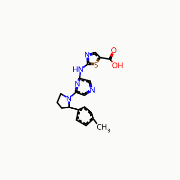 Cc1ccc(C2CCCN2c2cncc(Nc3ncc(C(=O)O)s3)n2)cc1